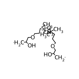 [CH2]C(O)COCCC[Si](C)(C)O[Si](C)(C)CCCOCC([CH2])O